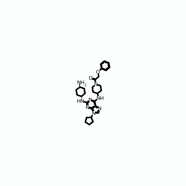 N[C@H]1CC[C@H](Nc2nc(NC3CCN(C(=O)COc4ccccc4)CC3)c3ncn(C4CCCC4)c3n2)CC1